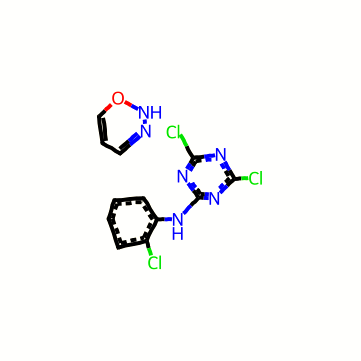 C1=CONN=C1.Clc1nc(Cl)nc(Nc2ccccc2Cl)n1